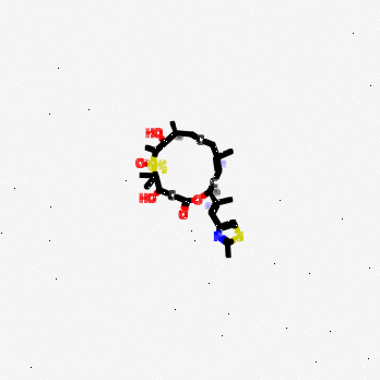 C/C1=C/C[C@@H](/C(C)=C/c2csc(C)n2)OC(=O)CC(O)C(C)(C)[SH2+]([O-])C(C)C(O)[C@@H](C)CCC1